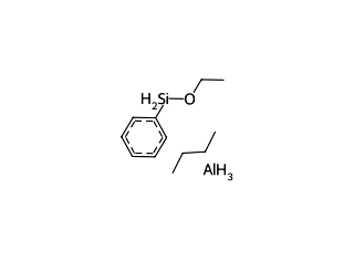 CCCC.CCO[SiH2]c1ccccc1.[AlH3]